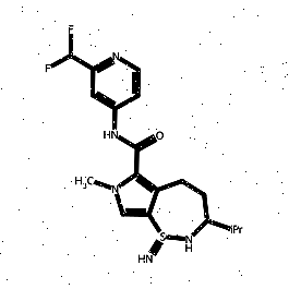 CC(C)C1CCc2c(cn(C)c2C(=O)Nc2ccnc(C(F)F)c2)S(=N)N1